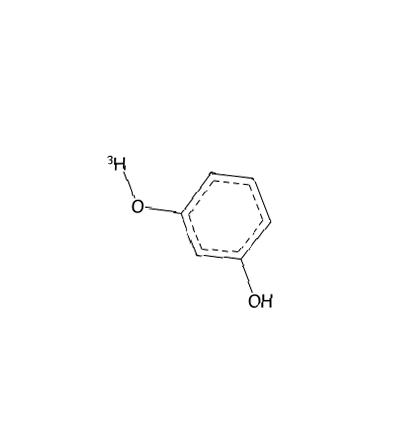 [3H]Oc1cccc(O)c1